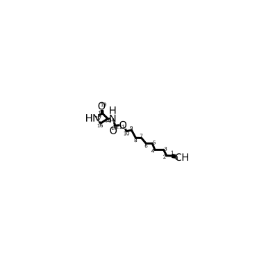 C#CCCCCCCCCCOC(=O)N[C@H]1CNC1=O